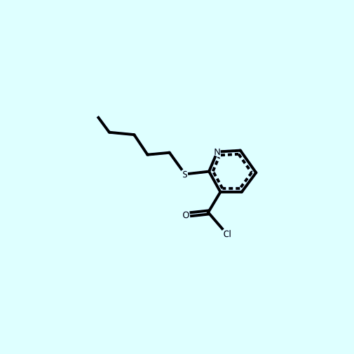 CCCCCSc1ncccc1C(=O)Cl